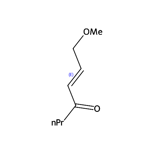 CCCC(=O)/C=C/COC